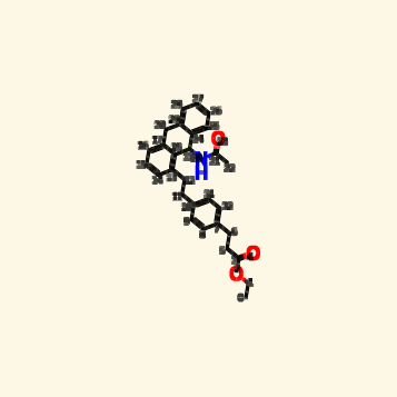 CCOC(=O)CCc1ccc(CCc2cccc3c2C(NC(C)=O)c2ccccc2C3)cc1